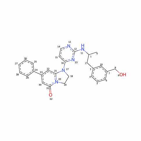 CC(Cc1cccc(CO)c1)Nc1nccc(N2CCn3c2cc(-c2ccccc2)cc3=O)n1